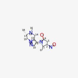 CC1C(N=O)CC(=O)N1c1cnn2c1CN(C)[C@@H](C)C2